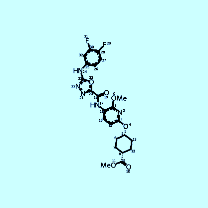 COc1nc(O[C@H]2CC[C@@H](C(=O)OC)CC2)ccc1NC(=O)c1nnc(Nc2ccc(F)c(F)c2)o1